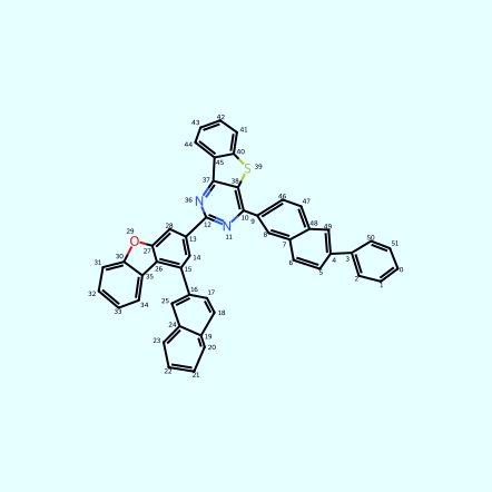 c1ccc(-c2ccc3cc(-c4nc(-c5cc(-c6ccc7ccccc7c6)c6c(c5)oc5ccccc56)nc5c4sc4ccccc45)ccc3c2)cc1